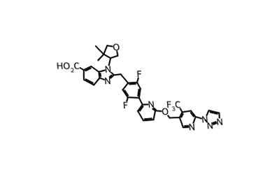 CC1(C)COCC1n1c(Cc2cc(F)c(-c3cccc(OCc4cnc(-n5ccnn5)cc4C(F)(F)F)n3)cc2F)nc2ccc(C(=O)O)cc21